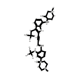 CN1CCP(=O)(c2ccc(NCC#Cc3sc4c(NC5CCN(C)CC5F)cccc4c3CC(F)(F)F)c(OC(F)(F)F)c2)CC1